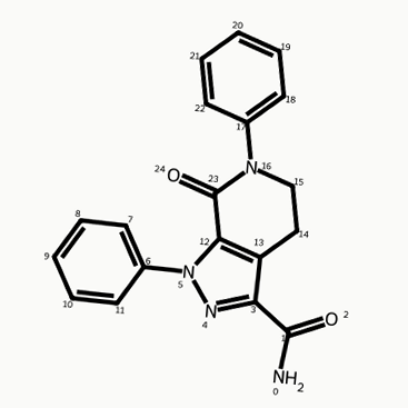 NC(=O)c1nn(-c2ccccc2)c2c1CCN(c1ccccc1)C2=O